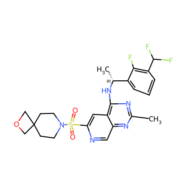 Cc1nc(N[C@H](C)c2cccc(C(F)F)c2F)c2cc(S(=O)(=O)N3CCC4(CC3)COC4)ncc2n1